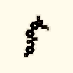 Nc1n[nH]c2ccc(-c3ccnc(NC(=O)Cc4ccc(Cl)cc4)c3)cc12